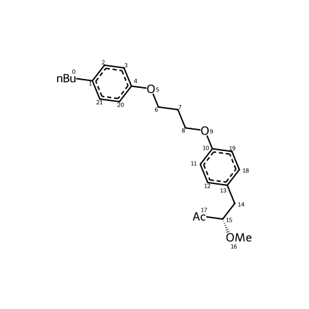 CCCCc1ccc(OCCCOc2ccc(C[C@H](OC)C(C)=O)cc2)cc1